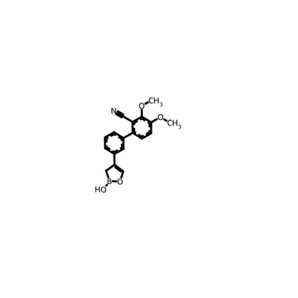 COc1ccc(-c2cccc(C3=COB(O)C3)c2)c(C#N)c1OC